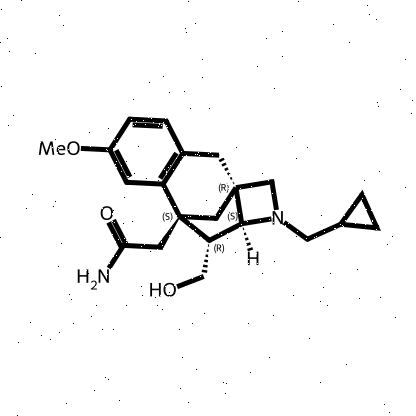 COc1ccc2c(c1)[C@]1(CC(N)=O)C[C@@]3(C2)CN(CC2CC2)[C@H]3[C@@H]1CO